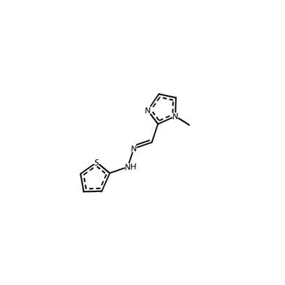 Cn1ccnc1C=NNc1cccs1